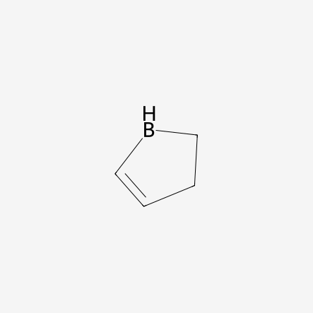 B1C=CCC1